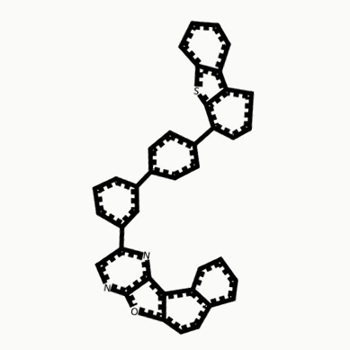 c1cc(-c2ccc(-c3cccc4c3sc3ccccc34)cc2)cc(-c2cnc3oc4ccc5ccccc5c4c3n2)c1